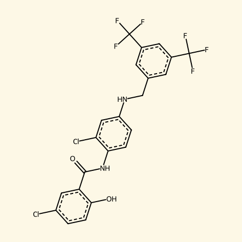 O=C(Nc1ccc(NCc2cc(C(F)(F)F)cc(C(F)(F)F)c2)cc1Cl)c1cc(Cl)ccc1O